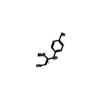 CS/C(=C\N=O)Nc1ccc(C(C)C)cc1